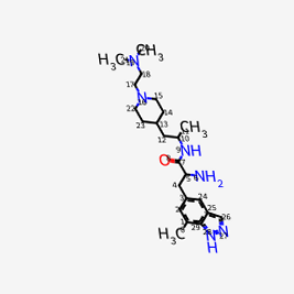 Cc1cc(CC(N)C(=O)NC(C)CC2CCN(CCN(C)C)CC2)cc2cn[nH]c12